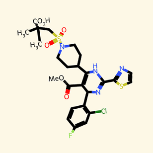 COC(=O)C1=C(C2CCN(S(=O)(=O)CC(C)(C)C(=O)O)CC2)NC(c2nccs2)=NC1c1ccc(F)cc1Cl